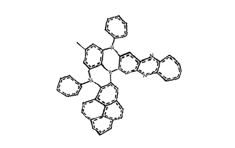 Cc1cc2c3c(c1)N(c1ccccc1)c1c(cc4ccc5cccc6ccc1c4c56)B3c1cc3nc4ccccc4nc3cc1N2c1ccccc1